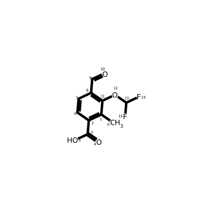 Cc1c(C(=O)O)ccc(C=O)c1OC(F)F